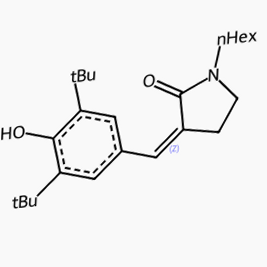 CCCCCCN1CC/C(=C/c2cc(C(C)(C)C)c(O)c(C(C)(C)C)c2)C1=O